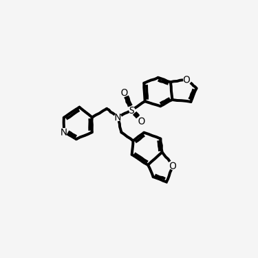 O=S(=O)(c1ccc2occc2c1)N(Cc1ccncc1)Cc1ccc2occc2c1